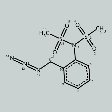 CS(=O)(=O)N(c1ccccc1CN=[N+]=[N-])S(C)(=O)=O